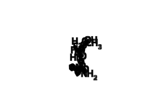 CC(C)(O)COc1ccc2c(C(=O)N[C@H]3CC[C@H](Oc4nn5c(-c6ccccc6)cccc5c4C(N)=O)CC3)nn(C(F)F)c2c1